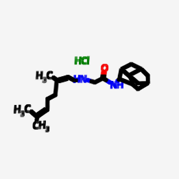 CC(C)=CCCC(C)=CCNCC(=O)NC1C2CC3CC(C2)CC1C3.Cl